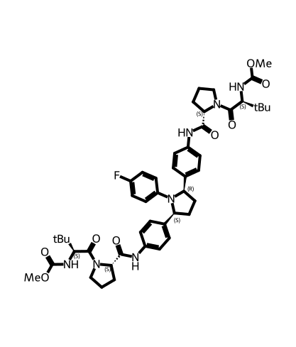 COC(=O)N[C@H](C(=O)N1CCC[C@H]1C(=O)Nc1ccc([C@H]2CC[C@@H](c3ccc(NC(=O)[C@@H]4CCCN4C(=O)[C@@H](NC(=O)OC)C(C)(C)C)cc3)N2c2ccc(F)cc2)cc1)C(C)(C)C